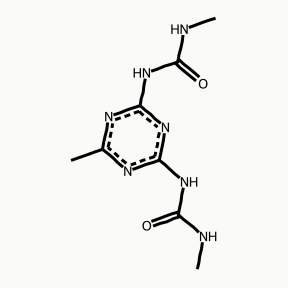 CNC(=O)Nc1nc(C)nc(NC(=O)NC)n1